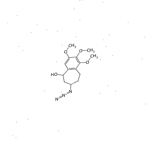 COc1cc2c(c(OC)c1OC)CCC(N=[N+]=[N-])CC2O